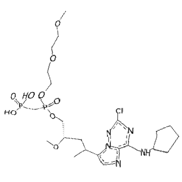 COCCOCCOP(=O)(CP(=O)(O)O)OC[C@H](CC(C)c1cnc2c(NC3CCCC3)nc(Cl)nn12)OC